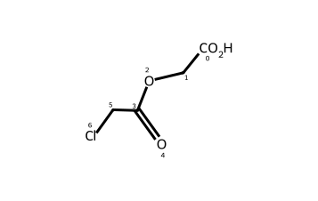 O=C(O)COC(=O)CCl